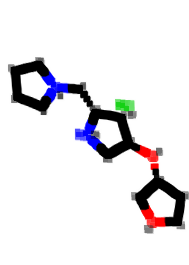 C1CCN(C[C@@H]2C[C@@H](O[C@@H]3CCOC3)CN2)C1.Cl